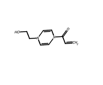 C=CC(=O)N1C=CN(CCO)C=C1